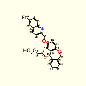 CCc1ccc2nc(COc3ccc4c(c3)C(SCCC(=O)O)c3ccccc3CO4)ccc2c1